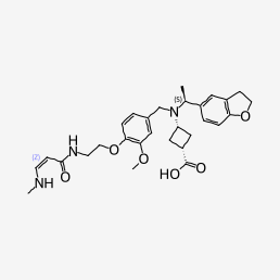 CN/C=C\C(=O)NCCOc1ccc(CN([C@H]2C[C@@H](C(=O)O)C2)[C@@H](C)c2ccc3c(c2)CCO3)cc1OC